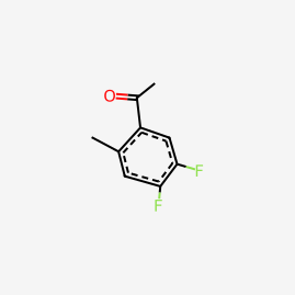 CC(=O)c1cc(F)c(F)cc1C